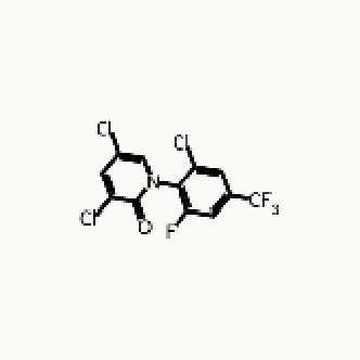 O=c1c(Cl)cc(Cl)cn1-c1c(F)cc(C(F)(F)F)cc1Cl